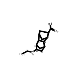 O=C(Cl)C1CC2CC1C1C3CC(OCCl)C(C3)C21